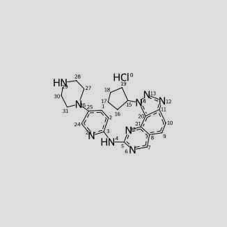 Cl.c1cc(Nc2ncc3ccc4nnn(C5CCCC5)c4c3n2)ncc1N1CCNCC1